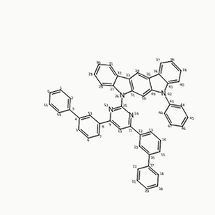 c1ccc(-c2cccc(-c3cc(-c4cccc(-c5ccccc5)c4)nc(-n4c5ccccc5c5cc6c7ccccc7n(-c7ccccc7)c6cc54)n3)c2)cc1